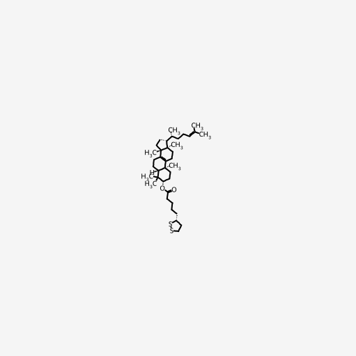 CC(C)=CCC[C@@H](C)[C@H]1CC[C@@]2(C)C3=C(CC[C@]12C)[C@@]1(C)CC[C@H](OC(=O)CCCC[C@@H]2CCSS2)C(C)(C)[C@@H]1CC3